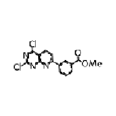 COC(=O)c1cccc(-c2ccc3c(Cl)nc(Cl)nc3n2)c1